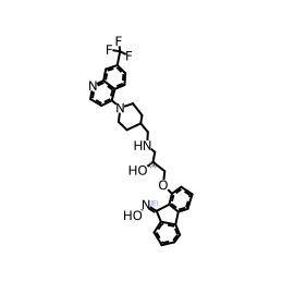 O/N=C1\c2ccccc2-c2cccc(OC[C@@H](O)CNCC3CCN(c4ccnc5cc(C(F)(F)F)ccc45)CC3)c21